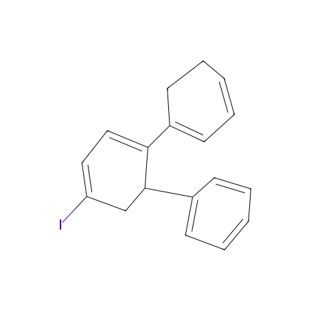 IC1=CC=C(C2=CC=CCC2)C(c2ccccc2)C1